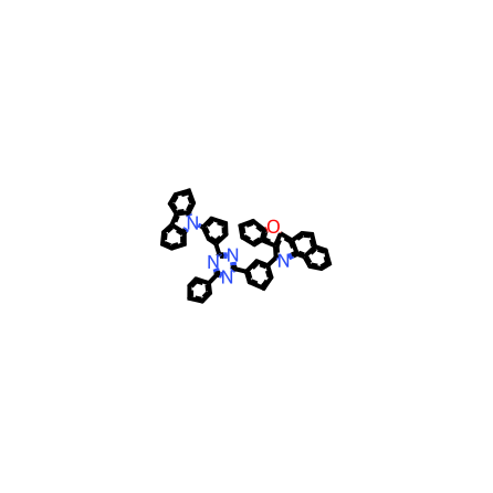 c1ccc(-c2nc(-c3cccc(-c4nc5c6ccccc6ccc5c5oc6ccccc6c45)c3)nc(-c3cccc(-n4c5ccccc5c5ccccc54)c3)n2)cc1